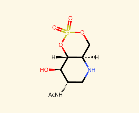 CC(=O)N[C@H]1CN[C@@H]2COS(=O)(=O)O[C@H]2[C@@H]1O